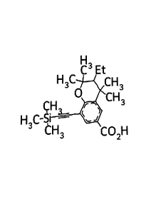 CCC1C(C)(C)Oc2c(C#C[Si](C)(C)C)cc(C(=O)O)cc2C1(C)C